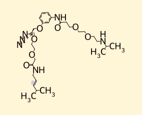 CC(C)/C=C/CNC(=O)COCCO[C@H](COc1cccc(NC(=O)CCOCCOCCNC(C)C)c1)N=[N+]=[N-]